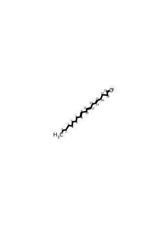 CCCCCCCCC=CCC=CCC=CCCCC=O